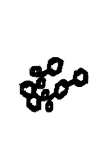 O=C(Oc1cccc2cccc(OC(=O)c3ccc(-c4ccccc4)cc3)c12)c1ccccc1